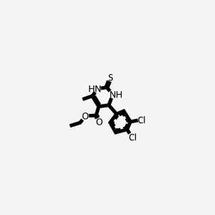 CCOC(=O)C1=C(C)NC(=S)NC1c1ccc(Cl)c(Cl)c1